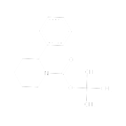 CC(C)(C)OC(=O)N1CCCCC1c1cc[c]cc1